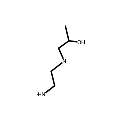 CC(O)C[N]CC[NH]